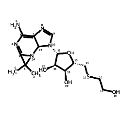 CC1(C)C2=NC(N)=C3N=CN([C@@H]4O[C@H](CSCCO)[C@@H](O)[C@H]4O)C3N21